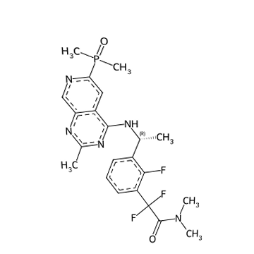 Cc1nc(N[C@H](C)c2cccc(C(F)(F)C(=O)N(C)C)c2F)c2cc(P(C)(C)=O)ncc2n1